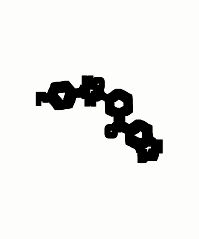 O=C(c1ccc2ncsc2c1)N1CCC[C@H](c2nc(-c3ccc(F)cc3)no2)C1